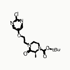 C[C@H]1C(=O)N(CCOc2cnc(Cl)nc2)CCN1C(=O)OC(C)(C)C